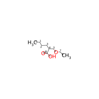 CCCCC(COCC)C(=O)O